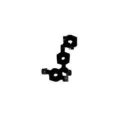 O=C(c1ccc(Sc2ncccn2)cc1)c1cc(Cl)ccc1Cl